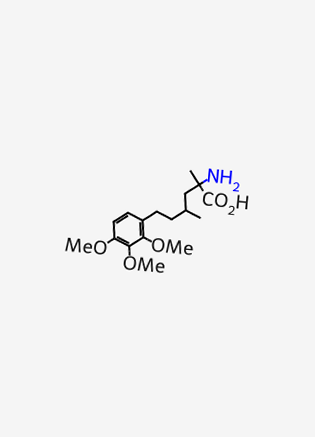 COc1ccc(CCC(C)CC(C)(N)C(=O)O)c(OC)c1OC